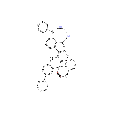 C=C1/C=C\C=C/N(c2ccccc2)c2cccc(-c3cccc4c3Oc3ccc(-c5ccccc5)cc3C43c4ccccc4Oc4ccccc43)c21